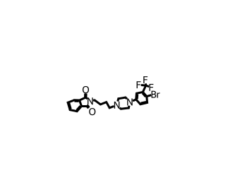 O=C1c2ccccc2C(=O)N1CCCCN1CCN(c2ccc(Br)c(C(F)(F)F)c2)CC1